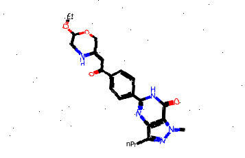 CCCc1nn(C)c2c(=O)[nH]c(-c3ccc(C(=O)CC4COC(OCC)CN4)cc3)nc12